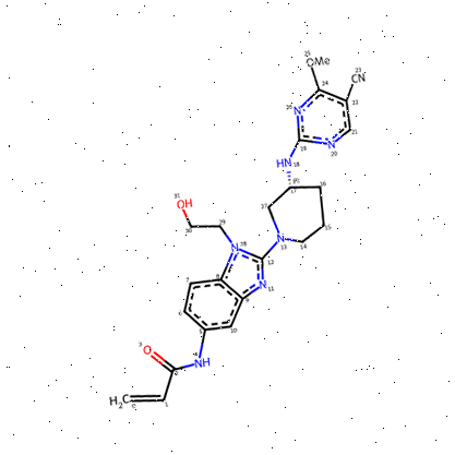 C=CC(=O)Nc1ccc2c(c1)nc(N1CCC[C@@H](Nc3ncc(C#N)c(OC)n3)C1)n2CCO